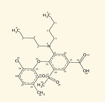 CCCCN(CCCC)c1cc(C(=O)O)cc(S(C)(=O)=O)c1Oc1cc(C)ccc1Cl